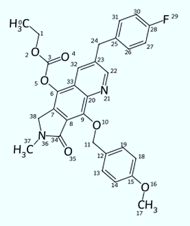 CCOC(=O)Oc1c2c(c(OCc3ccc(OC)cc3)c3ncc(Cc4ccc(F)cc4)cc13)C(=O)N(C)C2